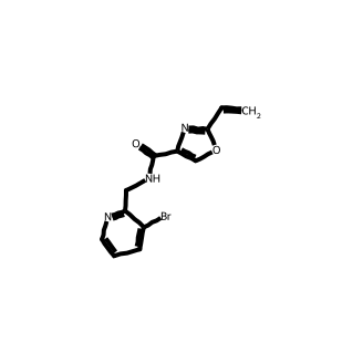 C=Cc1nc(C(=O)NCc2ncccc2Br)co1